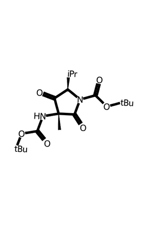 CC(C)[C@@H]1C(=O)[C@@](C)(NC(=O)OC(C)(C)C)C(=O)N1C(=O)OC(C)(C)C